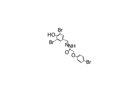 O=C(COc1ccc(Br)cc1)NN=Cc1cc(Br)c(O)c(Br)c1